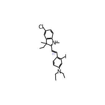 CCN(CC)c1ccc(/C=C/C2=[N+](C)c3ccc(Cl)cc3C2(C)CC)c(I)c1